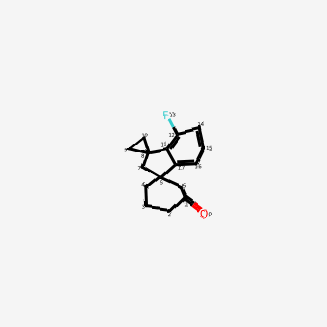 O=C1CCCC2(C1)CC1(CC1)c1c(F)cccc12